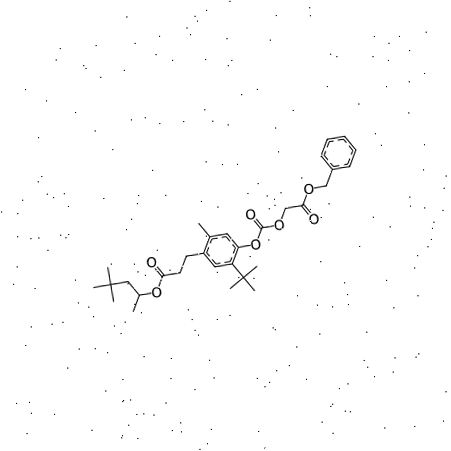 Cc1cc(OC(=O)OCC(=O)OCc2ccccc2)c(C(C)(C)C)cc1CCC(=O)OC(C)CC(C)(C)C